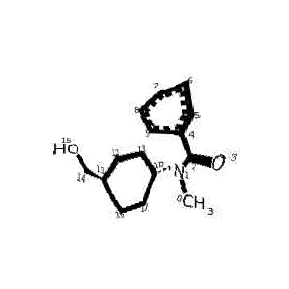 CN(C(=O)c1ccccc1)[C@H]1CC[C@H](CO)CC1